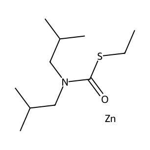 CCSC(=O)N(CC(C)C)CC(C)C.[Zn]